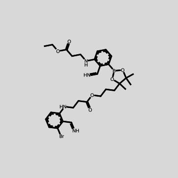 CCOC(=O)CCNc1cccc(B2OC(C)(C)C(C)(CCCOC(=O)CCNc3cccc(Br)c3C=N)O2)c1C=N